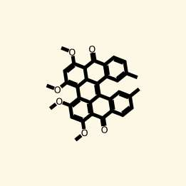 COC1=CC(OC)=C2c3c(OC)cc(OC)c4c3C(=C3c5cc(C)ccc5C(=O)C1C32)c1cc(C)ccc1C4=O